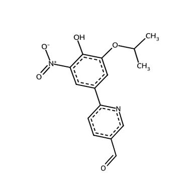 CC(C)Oc1cc(-c2ccc(C=O)cn2)cc([N+](=O)[O-])c1O